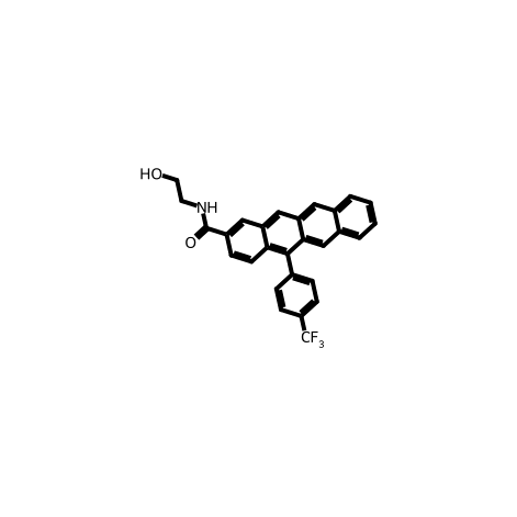 O=C(NCCO)c1ccc2c(-c3ccc(C(F)(F)F)cc3)c3cc4ccccc4cc3cc2c1